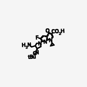 CC(C)(C)O/N=C1/CN(c2nc3c(cc2F)c(=O)c(C(=O)O)cn3C2CC2)CC1CN